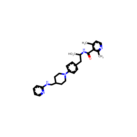 Cc1ccnc(C)c1C(=O)NC(Cc1ccc(N2CCC(CNc3ccccn3)CC2)cc1)C(=O)O